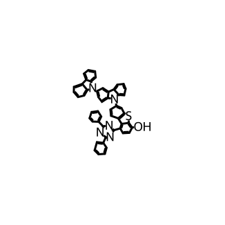 Oc1ccc(-c2nc(-c3ccccc3)nc(-c3ccccc3)n2)c2c1sc1cc(-n3c4ccccc4c4cc(-n5c6ccccc6c6ccccc65)ccc43)ccc12